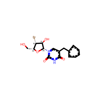 O=c1[nH]c(=O)n([C@@H]2O[C@H](CO)[C@H](Br)[C@H]2O)cc1Cc1ccccc1